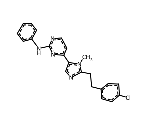 Cn1c(-c2ccnc(Nc3ccccc3)n2)cnc1CCc1ccc(Cl)cc1